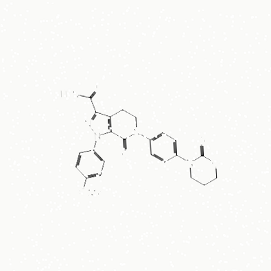 COc1ccc(-n2nc(C(N)=O)c3c2C(=O)N(c2ccc(N4CCCOC4=O)cc2)CC3)cc1